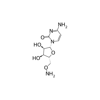 NOC[C@H]1O[C@@H](n2ccc(N)nc2=O)[C@H](O)[C@@H]1O